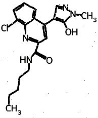 CCCCCNC(=O)c1cc(-c2cnn(C)c2O)c2cccc(Cl)c2n1